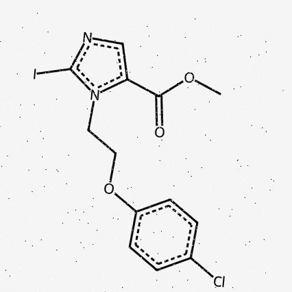 COC(=O)c1cnc(I)n1CCOc1ccc(Cl)cc1